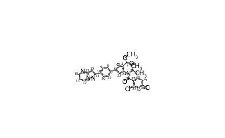 COC(=O)c1sc(-c2ccc(-c3cc4ncccn4n3)cc2)cc1N(C(=O)c1ccc(Cl)cc1Cl)C(C)C